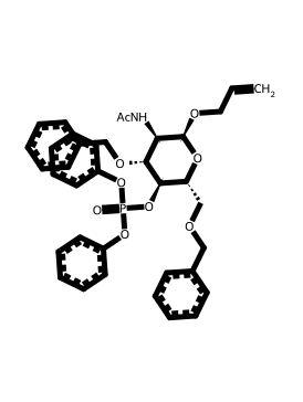 C=CCO[C@H]1O[C@H](COCc2ccccc2)[C@@H](OP(=O)(Oc2ccccc2)Oc2ccccc2)[C@H](OCc2ccccc2)[C@H]1NC(C)=O